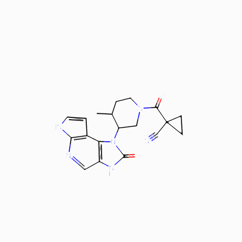 CC1CCN(C(=O)C2(C#N)CC2)CC1n1c(=O)[nH]c2cnc3[nH]ccc3c21